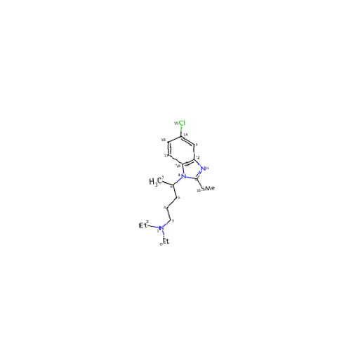 CCN(CC)CCCC(C)n1c(SC)nc2cc(Cl)ccc21